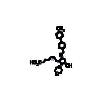 Cc1ccc(-c2ccc(CO[C@H]3C[C@@H](O)[C@H](N4CCOCC4)[C@H]3C/C=C\CCCC(=O)O)cc2)cc1